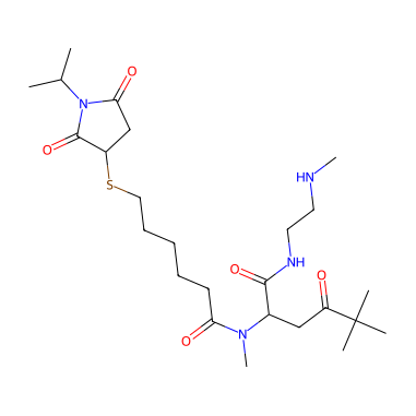 CNCCNC(=O)C(CC(=O)C(C)(C)C)N(C)C(=O)CCCCCSC1CC(=O)N(C(C)C)C1=O